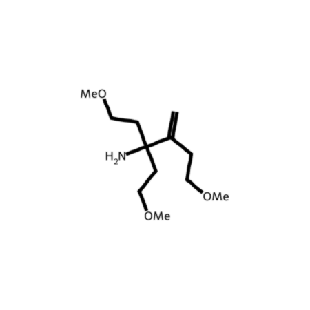 C=C(CCOC)C(N)(CCOC)CCOC